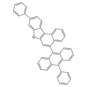 c1ccc(-c2ccc3c(c2)oc2cc(-c4c5ccccc5c(-c5ccccc5)c5ccccc45)c4ccccc4c23)cc1